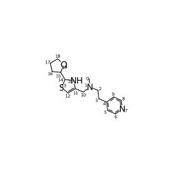 CN(CCc1ccncc1)CC1=CSC(C2CCCO2)N1